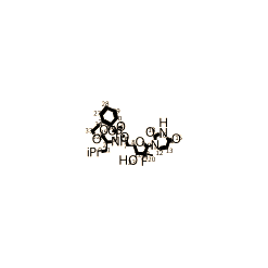 CC(C)C[C@H](N[P@@](=O)(OC[C@H]1O[C@@H](n2ccc(=O)[nH]c2=O)[C@](C)(F)[C@@H]1O)Oc1ccccc1)C1OCCO1